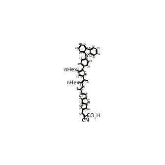 CCCCCCC(/C=C(\C)c1cc2sc3cc(/C=C(/C#N)C(=O)O)sc3c2s1)=C(/C)c1cc(CCCCCC)c(-c2ccc(-n3c4ccccc4c4ccccc43)cc2)s1